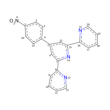 O=[N+]([O-])c1ccc(-c2cc(-c3ccccn3)nc(-c3ccccn3)c2)cc1